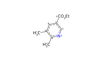 CCOC(=O)c1cnc(C)c(C)c1